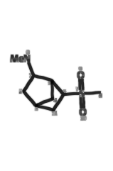 CNC1CC2CC1C(S(C)(=O)=O)C2